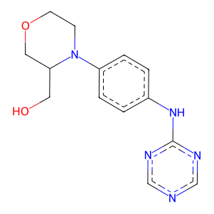 OCC1COCCN1c1ccc(Nc2ncncn2)cc1